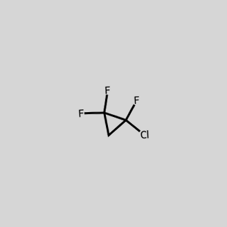 FC1(F)CC1(F)Cl